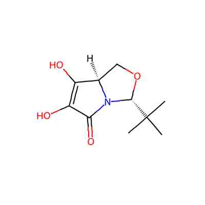 CC(C)(C)[C@H]1OC[C@@H]2C(O)=C(O)C(=O)N21